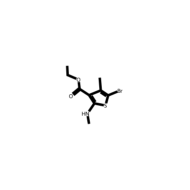 CCOC(=O)c1c(NC)sc(Br)c1C